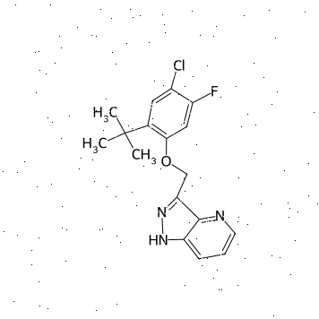 CC(C)(C)c1cc(Cl)c(F)cc1OCc1n[nH]c2cccnc12